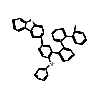 Cc1ccccc1-c1ccccc1-c1ccccc1-c1cc(-c2ccc3oc4ccccc4c3c2)ccc1Nc1ccccc1